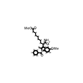 COC(=O)CCCCCCCC(C(N)=O)c1c(C)n(C(=O)c2ccccc2)c2ccc(OC)cc12